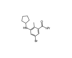 CCCC(=O)c1cc(Br)cc(NC2CCCC2)c1C